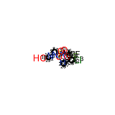 O=C(NS(=O)(=O)c1cccc(N2CC[C@H](O)C2)n1)C1(OC2=C(c3ccccc3)C=CC(F)(Cl)C2C(F)(F)F)CC1